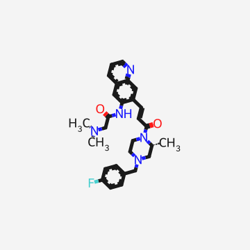 C[C@@H]1CN(Cc2ccc(F)cc2)CCN1C(=O)/C=C/c1cc2ncccc2cc1NC(=O)CN(C)C